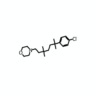 CC(C)(CCN1CCOCC1)CCC(C)(C)c1ccc(Cl)cc1